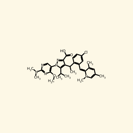 COc1nc(N(C)C)ncc1-n1nc(C(=O)O)c(C(C)c2ccc(Cl)cc2C=C2C(C)=CC(C)=CN2C)c1C(C)C